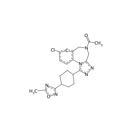 CC(=O)N1Cc2cc(Cl)ccc2-n2c(nnc2C2CCC(c3noc(C)n3)CC2)C1